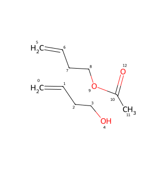 C=CCCO.C=CCCOC(C)=O